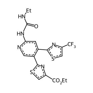 CCNC(=O)Nc1cc(-c2nc(C(F)(F)F)cs2)c(-c2nc(C(=O)OCC)cs2)cn1